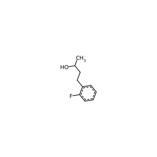 CC(O)CCc1ccccc1F